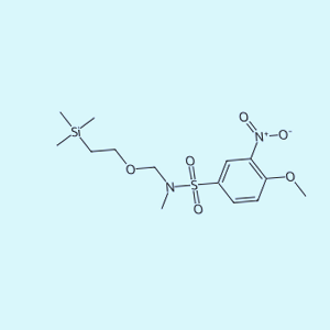 COc1ccc(S(=O)(=O)N(C)COCC[Si](C)(C)C)cc1[N+](=O)[O-]